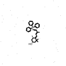 CC(C=C[PH](c1ccccc1)(c1ccccc1)c1ccccc1)=CC=C1[C@H](C)C[C@@H](O)CC1(C)C